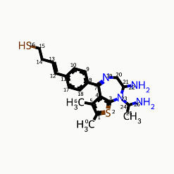 Cc1sc2c(c1C)C(c1ccc(/C=C/CCS)cc1)=NCC(N)N2C(C)N